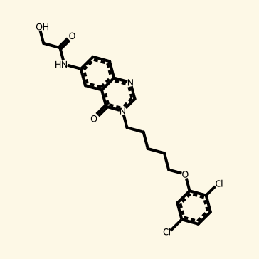 O=C(CO)Nc1ccc2ncn(CCCCCOc3cc(Cl)ccc3Cl)c(=O)c2c1